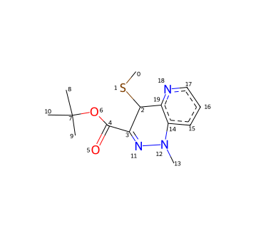 CSC1C(C(=O)OC(C)(C)C)=NN(C)c2cccnc21